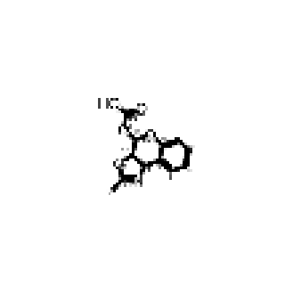 CC1=NC2c3ccccc3OC(OC(=O)O)C2O1